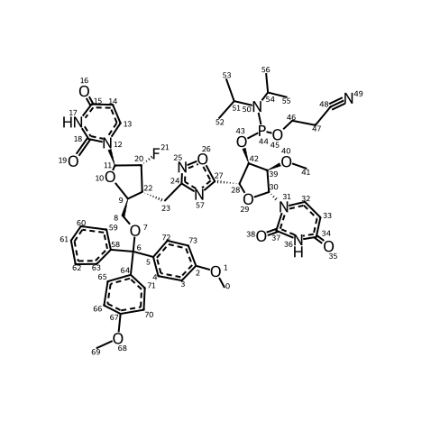 COc1ccc(C(OC[C@H]2O[C@@H](n3ccc(=O)[nH]c3=O)[C@H](F)[C@@H]2Cc2noc([C@H]3O[C@@H](n4ccc(=O)[nH]c4=O)[C@H](OC)[C@@H]3OP(OCCC#N)N(C(C)C)C(C)C)n2)(c2ccccc2)c2ccc(OC)cc2)cc1